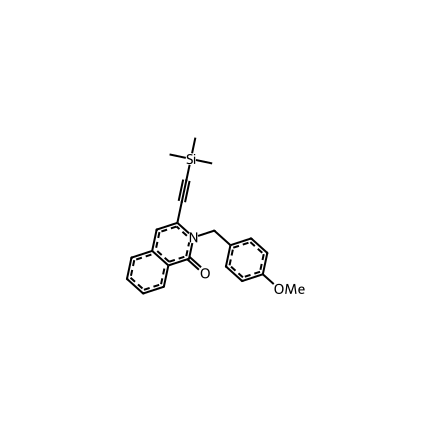 COc1ccc(Cn2c(C#C[Si](C)(C)C)cc3ccccc3c2=O)cc1